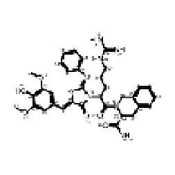 COc1cc(C=C2SC(=Nc3ccccc3)N(C(CCCNC(=N)N)C(=O)N3Cc4ccccc4C[C@H]3C(N)=O)C2=O)cc(OC)c1O